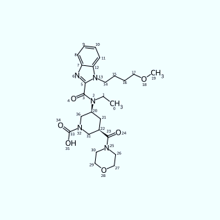 CCN(C(=O)c1nc2ccccc2n1CCCCOC)[C@H]1C[C@@H](C(=O)N2CCOCC2)CN(C(=O)O)C1